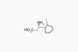 Cc1ccccc1[C@H](N)CC(=O)O